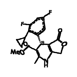 COC(=O)C1=C(C)NC2=C(C(=O)OC2)[C@H]1c1cc(F)cc(F)c1C1CC1